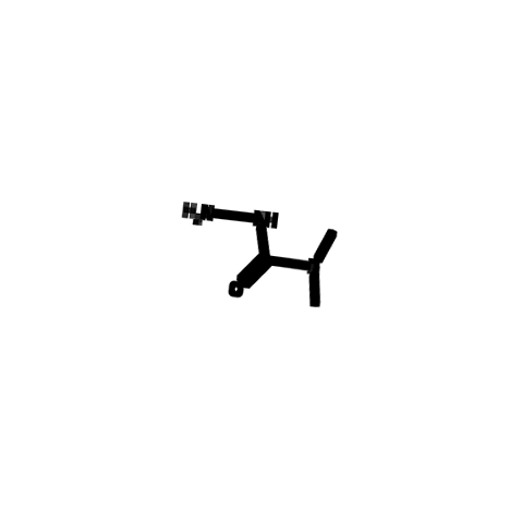 CB(C)C(=O)NN